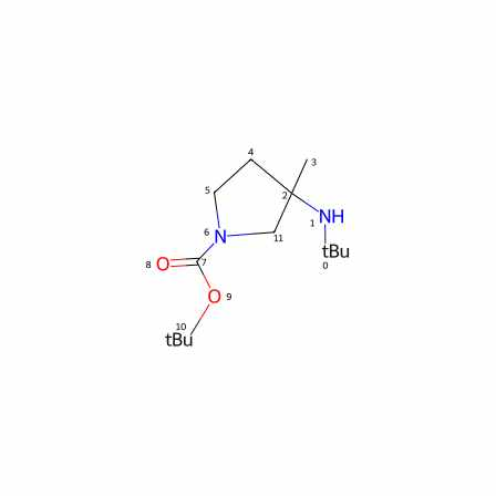 CC(C)(C)NC1(C)CCN(C(=O)OC(C)(C)C)C1